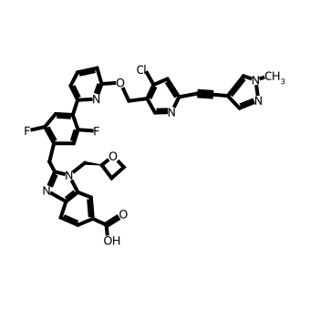 Cn1cc(C#Cc2cc(Cl)c(COc3cccc(-c4cc(F)c(Cc5nc6ccc(C(=O)O)cc6n5C[C@@H]5CCO5)cc4F)n3)cn2)cn1